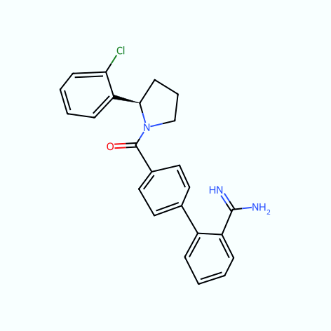 N=C(N)c1ccccc1-c1ccc(C(=O)N2CCC[C@@H]2c2ccccc2Cl)cc1